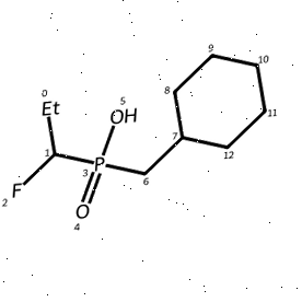 CCC(F)P(=O)(O)CC1CCCCC1